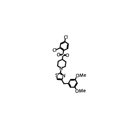 COc1cc(Cc2csc(N3CCC(S(=O)(=O)c4ccc(Cl)cc4Cl)CC3)n2)cc(OC)c1